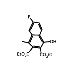 CCOC(=O)c1c(C(=O)OCC)c(O)c2ccc(F)cc2c1C